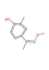 CO/N=C(/C)c1ccc(O)c(C)c1